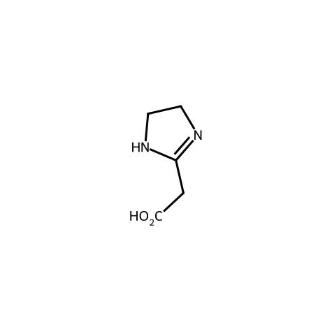 O=C(O)CC1=NCCN1